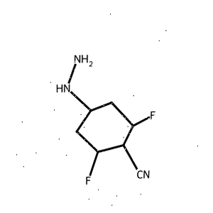 N#CC1C(F)CC(NN)CC1F